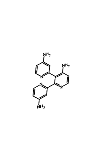 Nc1ccnc(-c2nccc(N)c2-c2cc(N)ccn2)c1